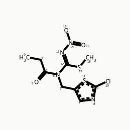 CCC(=O)N(Cc1cnc(Cl)s1)C(=N[N+](=O)[O-])SC